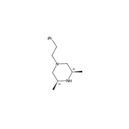 CC(C)CCN1C[C@@H](C)N[C@@H](C)C1